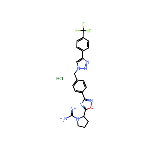 Cl.N=C(N)N1CCCC1c1nc(-c2ccc(Cn3cc(-c4ccc(C(F)(F)F)cc4)nn3)cc2)no1